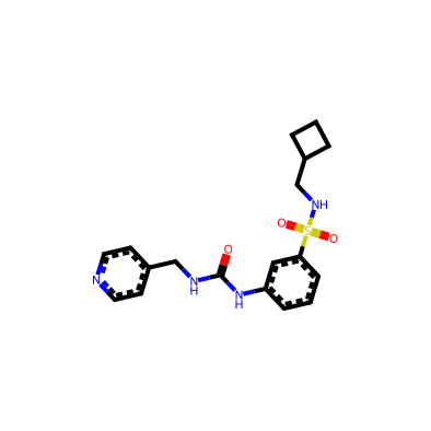 O=C(NCc1ccncc1)Nc1cccc(S(=O)(=O)NCC2CCC2)c1